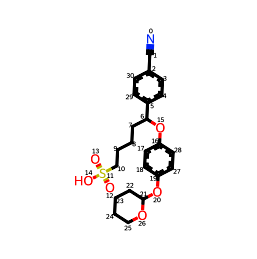 N#Cc1ccc(C(CCCCS(=O)(=O)O)Oc2ccc(OC3CCCCO3)cc2)cc1